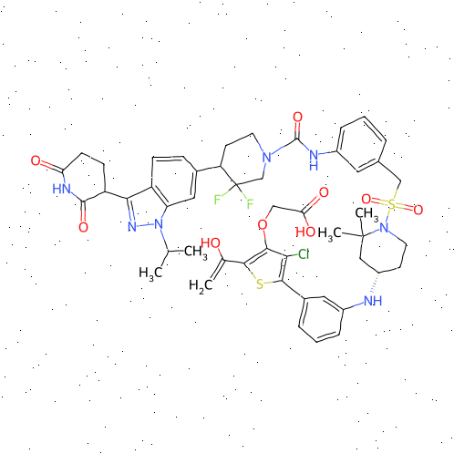 C=C(O)c1sc(-c2cccc(N[C@H]3CCN(S(=O)(=O)Cc4cccc(NC(=O)N5CCC(c6ccc7c(C8CCC(=O)NC8=O)nn(C(C)C)c7c6)C(F)(F)C5)c4)C(C)(C)C3)c2)c(Cl)c1OCC(=O)O